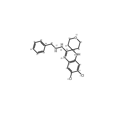 Clc1cc2c(cc1Cl)NC1(CCOCC1)C(NNCc1ccccc1)=N2